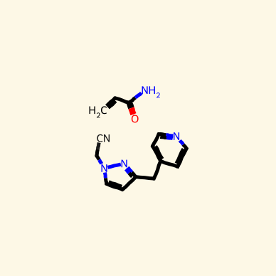 C=CC(N)=O.N#CCn1ccc(Cc2ccncc2)n1